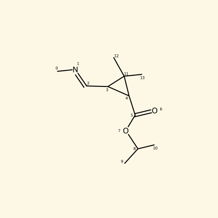 CN=CC1C(C(=O)OC(C)C)C1(C)C